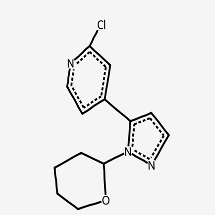 Clc1cc(-c2ccnn2C2CCCCO2)ccn1